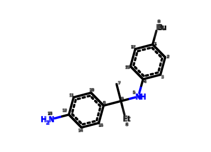 CCC(C)c1ccc(NC(C)(CC)c2ccc(N)cc2)cc1